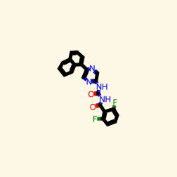 O=C(NC(=O)c1c(F)cccc1F)Nc1cnc(-c2cccc3ccccc23)cn1